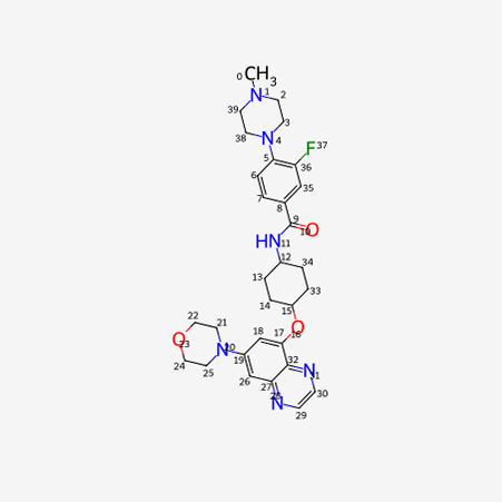 CN1CCN(c2ccc(C(=O)NC3CCC(Oc4cc(N5CCOCC5)cc5nccnc45)CC3)cc2F)CC1